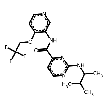 CC(C)C(C)Nc1nccc(C(=O)Nc2cnccc2OCC(F)(F)F)n1